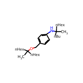 CCCCCCC(C)(CCCC)Nc1ccc(COC(C)(CCCCCC)CCCCCC)cc1